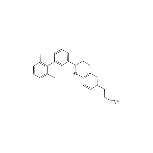 CCOC(=O)CCc1ccc2c(c1)CCC(c1cccc(-c3c(C)cccc3C)c1)N2